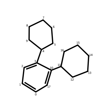 c1ccc(C2CCCCC2)c(C2CCCCC2)c1